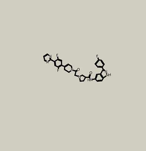 O=C(Nc1ccc2[nH]nc(-c3ccc(F)cc3)c2c1)C1CCN(CC(=O)N2CC=C(c3cc(F)c(-c4ncccn4)cc3F)CC2)C1